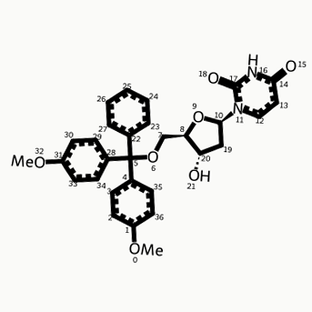 COc1ccc(C(OC[C@H]2O[C@@H](n3ccc(=O)[nH]c3=O)C[C@@H]2O)(c2ccccc2)c2ccc(OC)cc2)cc1